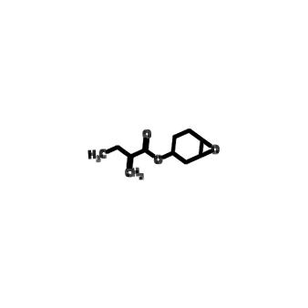 C=C(CC)C(=O)OC1CCC2OC2C1